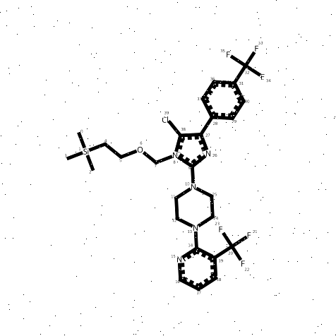 C[Si](C)(C)CCOCn1c(N2CCN(c3ncccc3C(F)(F)F)CC2)nc(-c2ccc(C(F)(F)F)cc2)c1Cl